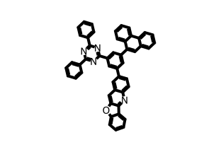 c1ccc(-c2nc(-c3ccccc3)nc(-c3cc(-c4ccc5nc6c(cc5c4)oc4ccccc46)cc(-c4cc5ccccc5c5ccccc45)c3)n2)cc1